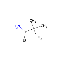 CCC(N)C(C)(C)C